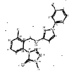 Cc1cccc(-n2ccc(OCc3c(C)cccc3-n3nnn(C)c3=O)n2)c1